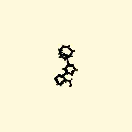 COc1ccccc1-c1cncc(N2CCN3CCCC2CC3)c1